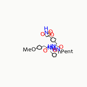 CCCCCNC(=O)[C@H](Cc1ccc(C2=CC(=O)NS2(=O)=O)cc1)NC(=O)[C@H](Cc1ccccc1)NC(=O)Cc1ccc(OC)cc1